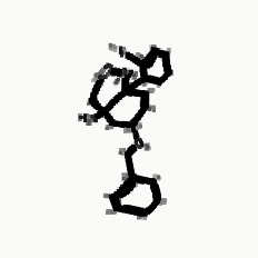 NC12CONC1(c1ccccc1F)CC[C@@H](OCc1ccccc1)C2